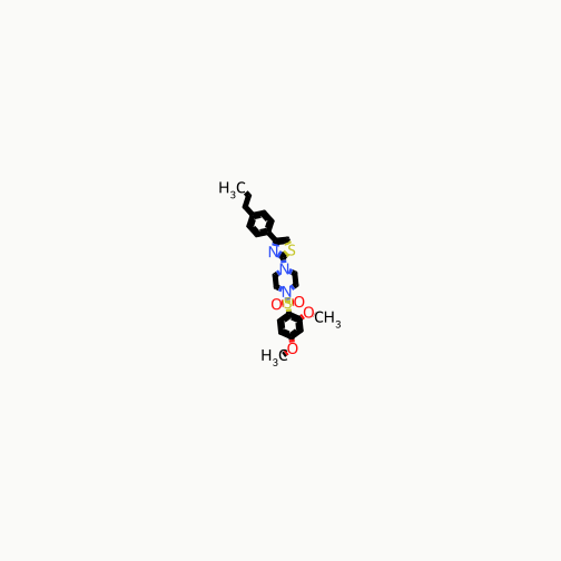 CCCc1ccc(-c2csc(N3CCN(S(=O)(=O)c4ccc(OC)cc4OC)CC3)n2)cc1